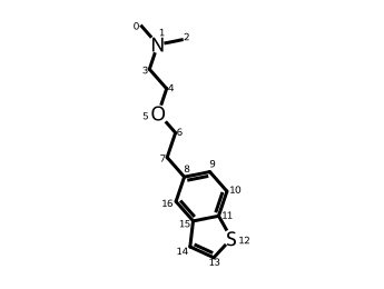 CN(C)CCOCCc1ccc2sccc2c1